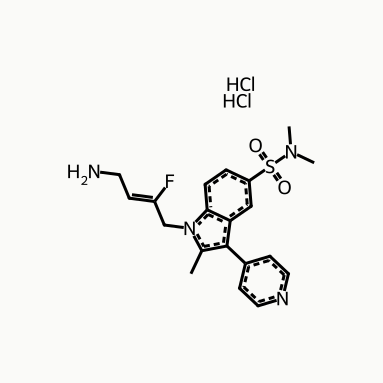 Cc1c(-c2ccncc2)c2cc(S(=O)(=O)N(C)C)ccc2n1CC(F)=CCN.Cl.Cl